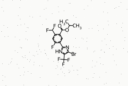 CC(C)OC(=O)c1cc(-c2nc(Br)c(C(F)(F)F)[nH]2)c(F)cc1C(F)F